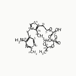 Cc1ncc(C[n+]2csc(CCOP(=O)(O)OP(=O)(O)OC(C)O)c2C)c(N)n1